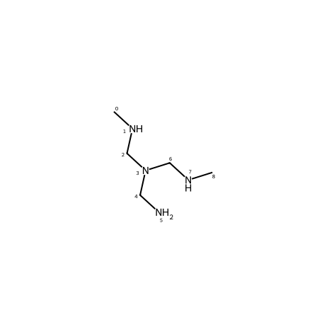 CNCN(CN)CNC